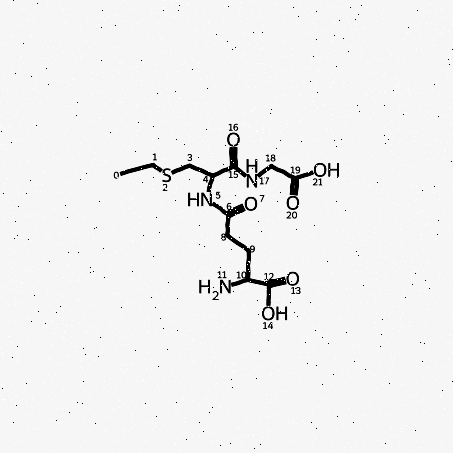 CCSCC(NC(=O)CCC(N)C(=O)O)C(=O)NCC(=O)O